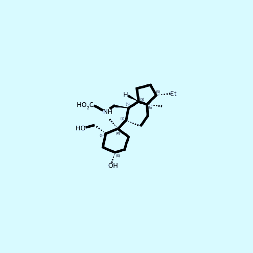 CC[C@H]1CC[C@H]2[C@H](CNC(=O)O)[C@@H]([C@@]3(C)CC[C@H](O)C[C@@H]3CO)CC[C@]12C